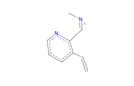 C=Cc1cccnc1/C=N\C